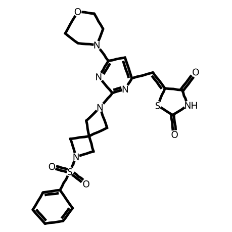 O=C1NC(=O)C(=Cc2cc(N3CCOCC3)nc(N3CC4(C3)CN(S(=O)(=O)c3ccccc3)C4)n2)S1